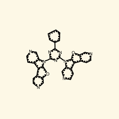 c1ccc(-c2nc(-n3c4cnccc4c4c5ccncc5oc43)nc(-n3c4cnccc4c4c5ccncc5oc43)n2)cc1